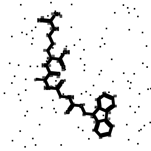 C[C@H](NC(=O)CNC(=O)OCC1c2ccccc2-c2ccccc21)C(=O)N[C@@H](CCCNC(=N)N)C(=O)O